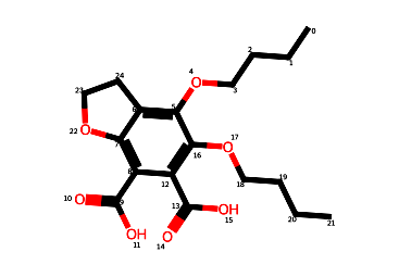 CCCCOc1c2c(c(C(=O)O)c(C(=O)O)c1OCCCC)OCC2